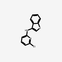 CCc1cccc(Nc2csc3ccccc23)n1